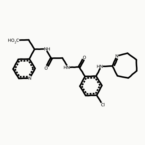 O=C(O)CC(NC(=O)CNC(=O)c1ccc(Cl)cc1NC1=NCCCCC1)c1cccnc1